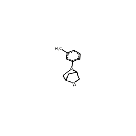 Cc1cccc(N2CC3CC2CN3)c1